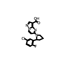 O=C(O)c1cnn2ccc(N3CCCC3c3cc(Cl)ccc3F)nc12